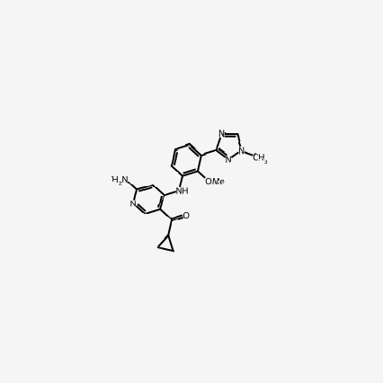 COc1c(Nc2cc(N)ncc2C(=O)C2CC2)cccc1-c1ncn(C)n1